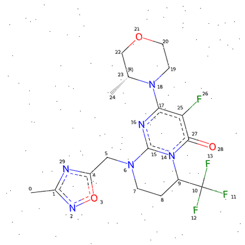 Cc1noc(CN2CCC(C(F)(F)F)n3c2nc(N2CCOC[C@H]2C)c(F)c3=O)n1